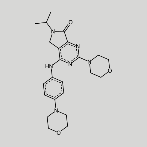 CC(C)N1Cc2c(Nc3ccc(N4CCOCC4)cc3)nc(N3CCOCC3)nc2C1=O